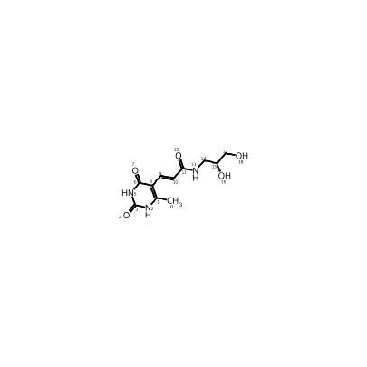 Cc1[nH]c(=O)[nH]c(=O)c1/C=C/C(=O)NC[C@H](O)CO